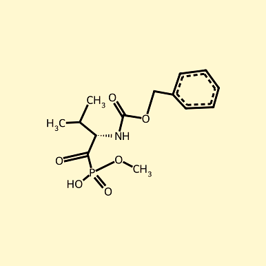 COP(=O)(O)C(=O)[C@@H](NC(=O)OCc1ccccc1)C(C)C